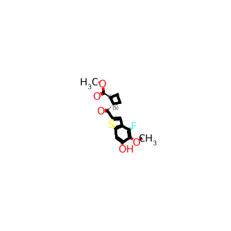 COC(=O)[C@H]1CC[C@@H]1C(=O)c1cc2c(F)c(OC)c(O)cc2s1